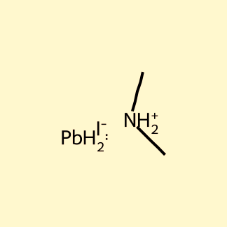 C[NH2+]C.[I-].[PbH2]